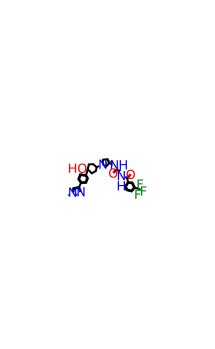 Cn1cnc(-c2ccc(C3(O)CCC(N4CC[C@@H](NC(=O)CNC(=O)c5cccc(C(F)(F)F)c5)C4)CC3)cc2)c1